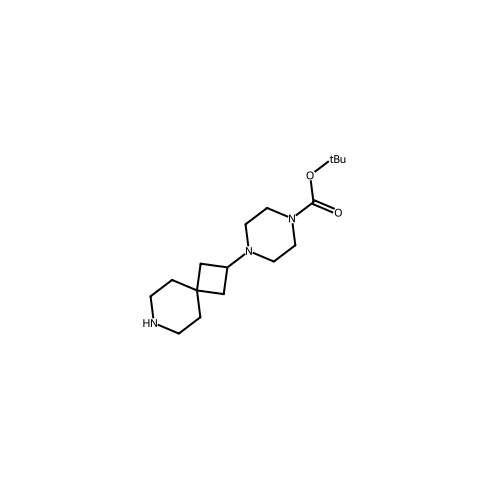 CC(C)(C)OC(=O)N1CCN(C2CC3(CCNCC3)C2)CC1